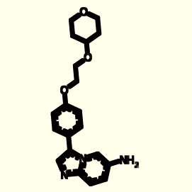 Nc1ccc2ncc(-c3ccc(OCCOC4CCOCC4)cc3)n2c1